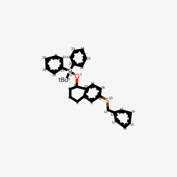 CC(C)(C)[Si](OC1CCCc2cc(SCc3ccccc3)ccc21)(c1ccccc1)c1ccccc1